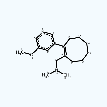 COc1cncc(C2=C(CN(C)C)CCCCCC2)c1